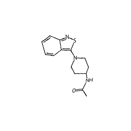 CC(=O)NC1CCN(c2snc3ccccc23)CC1